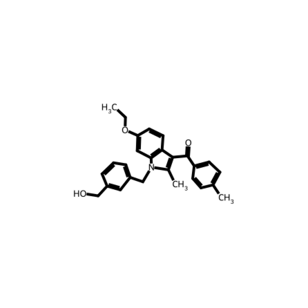 CCOc1ccc2c(C(=O)c3ccc(C)cc3)c(C)n(Cc3cccc(CO)c3)c2c1